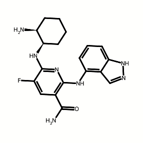 NC(=O)c1cc(F)c(N[C@@H]2CCCC[C@@H]2N)nc1Nc1cccc2[nH]ncc12